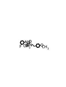 COc1ccc(CCNC(=O)C(=O)Nc2cccc(F)c2C)cc1